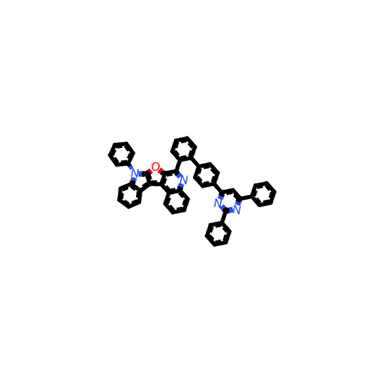 c1ccc(-c2cc(-c3ccc(-c4ccccc4-c4nc5ccccc5c5c4oc4c5c5ccccc5n4-c4ccccc4)cc3)nc(-c3ccccc3)n2)cc1